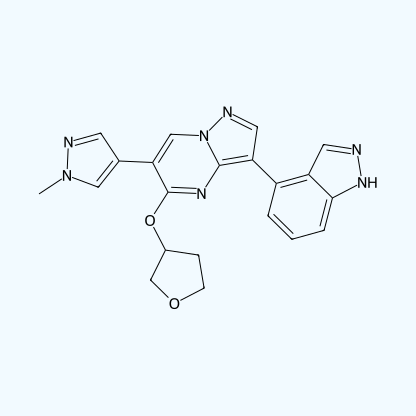 Cn1cc(-c2cn3ncc(-c4cccc5[nH]ncc45)c3nc2OC2CCOC2)cn1